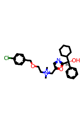 C[N+](C)(CCOCc1ccc(Cl)cc1)Cc1cnc([C@](O)(c2ccccc2)C2CCCCC2)o1